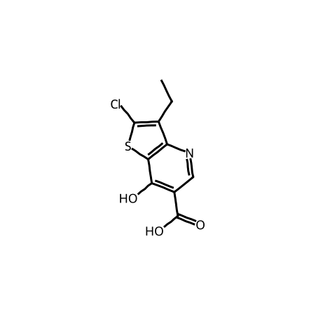 CCc1c(Cl)sc2c(O)c(C(=O)O)cnc12